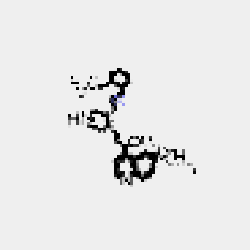 CCc1ccccc1/C=C/C[C@H]1CNCC[C@H]1CCC(O)c1ccnc2ccc(OC)cc12